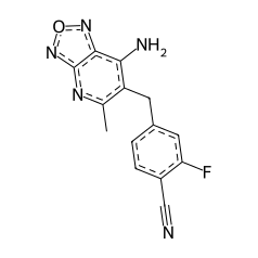 Cc1nc2nonc2c(N)c1Cc1ccc(C#N)c(F)c1